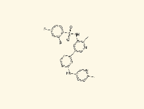 Cc1ccc(Nc2cc(-c3cnc(C)c(NS(=O)(=O)c4ccc(F)cc4F)c3)ccn2)cn1